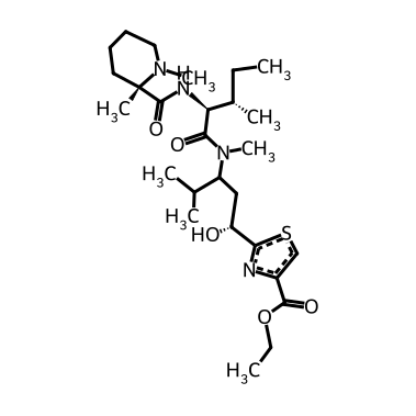 CCOC(=O)c1csc([C@H](O)CC(C(C)C)N(C)C(=O)[C@@H](NC(=O)[C@]2(C)CCCCN2C)[C@@H](C)CC)n1